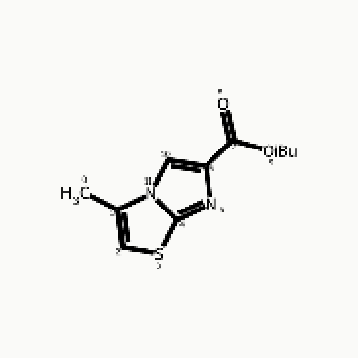 Cc1csc2nc(C(=O)OCC(C)C)cn12